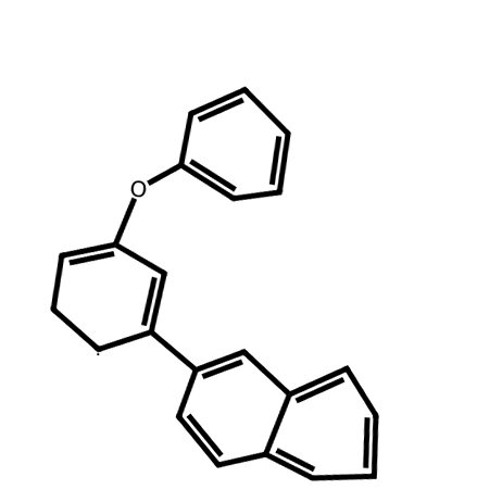 [CH]1CC=C(Oc2ccccc2)C=C1c1ccc2ccccc2c1